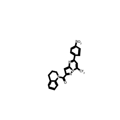 O=C(c1cc2nc(-c3ccc([N+](=O)[O-])cc3)cc(C(F)(F)F)n2n1)N1CCCc2ccccc21